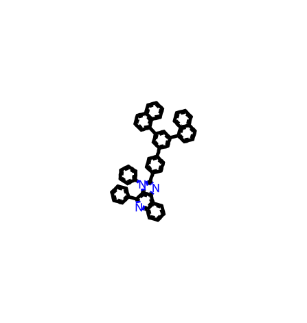 c1ccc(-c2nc3ccccc3c3nc(-c4ccc(-c5cc(-c6cccc7ccccc67)cc(-c6cccc7ccccc67)c5)cc4)n(-c4ccccc4)c23)cc1